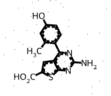 Cc1cc(O)ccc1-c1nc(N)nc2sc(C(=O)O)cc12